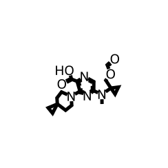 CN(c1cnc(C(=O)O)c(N2CCC3(CC2)CC3)n1)C1(COC=O)CC1